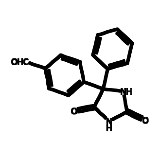 O=Cc1ccc(C2(c3ccccc3)NC(=O)NC2=O)cc1